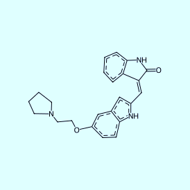 O=C1Nc2ccccc2/C1=C\c1cc2cc(OCCN3CCCC3)ccc2[nH]1